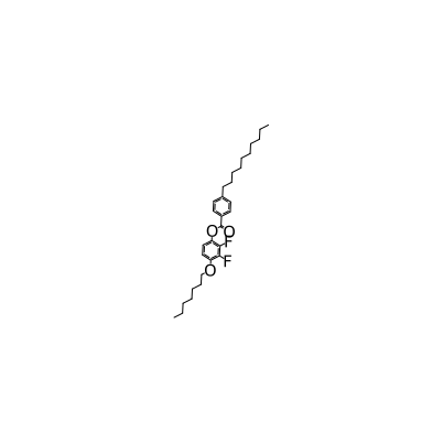 CCCCCCCCCCc1ccc(C(=O)Oc2ccc(OCCCCCCC)c(F)c2F)cc1